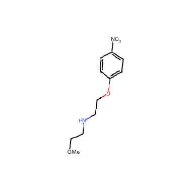 COCCNCCOc1ccc([N+](=O)[O-])cc1